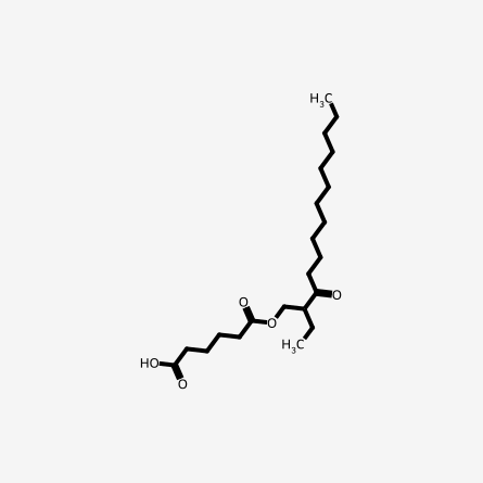 CCCCCCCCCCCC(=O)C(CC)COC(=O)CCCCC(=O)O